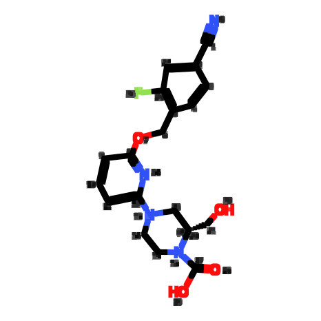 N#Cc1ccc(COc2cccc(N3CCN(C(=O)O)[C@@H](CO)C3)n2)c(F)c1